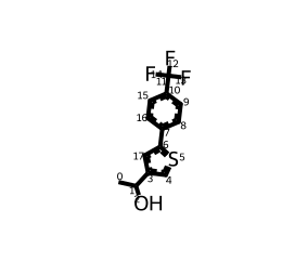 CC(O)c1csc(-c2ccc(C(F)(F)F)cc2)c1